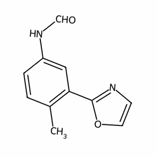 Cc1ccc(NC=O)cc1-c1ncco1